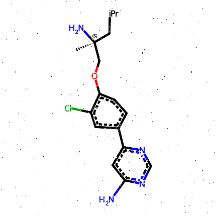 CC(C)C[C@](C)(N)COc1ccc(-c2cc(N)ncn2)cc1Cl